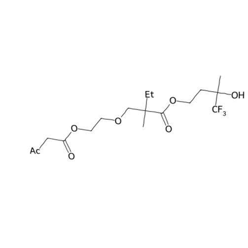 CCC(C)(COCCOC(=O)CC(C)=O)C(=O)OCCC(C)(O)C(F)(F)F